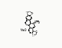 COc1cc2c(c3c[n+](C)c4c5cc6c(cc5ccc4c13)OCO6)OCO2.Cl.[Cl-]